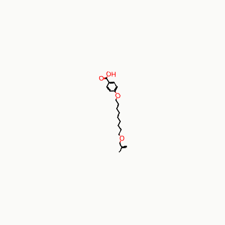 C=C(C)COCCCCCCCCCOc1ccc(C(=O)O)cc1